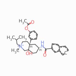 CC(=O)Oc1cccc([C@]23CC[N@@+](C)(CC(C)C)CC2(O)CC[C@@H](NC(=O)c2ccc4ccccc4c2)C3)c1